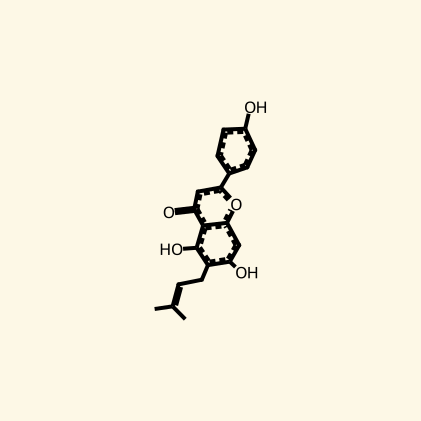 CC(C)=CCc1c(O)cc2oc(-c3ccc(O)cc3)cc(=O)c2c1O